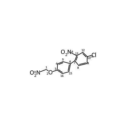 O=[N+]([O-])COc1ccc(-c2ccc(Cl)cc2[N+](=O)[O-])cc1